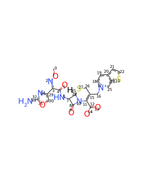 CO/N=C(\C(=O)NC1C(=O)N2C(C(=O)[O-])=C(C[n+]3ccc4ccsc4c3)CS[C@H]12)c1coc(N)n1